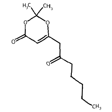 CCCCCC(=O)CC1=CC(=O)OC(C)(C)O1